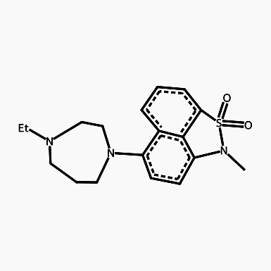 CCN1CCCN(c2ccc3c4c(cccc24)S(=O)(=O)N3C)CC1